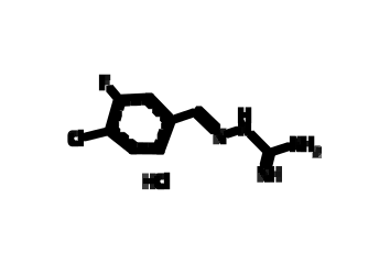 Cl.N=C(N)NN=Cc1ccc(Cl)c(F)c1